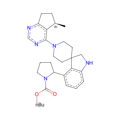 CCCCOC(=O)N1CCCC1c1cccc2c1C1(CCN(c3ncnc4c3[C@H](C)CC4)CC1)CN2